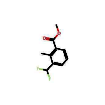 COC(=O)c1cccc(C(F)F)c1C